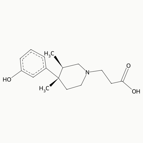 C[C@H]1CN(CCC(=O)O)CC[C@]1(C)c1cccc(O)c1